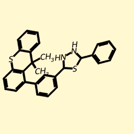 CC1(C)c2ccccc2Sc2cccc(-c3cccc(C4NNC(c5ccccc5)S4)c3)c21